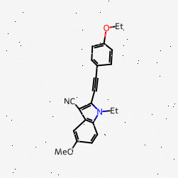 CCOc1ccc(C#Cc2c(C#N)c3cc(OC)ccc3n2CC)cc1